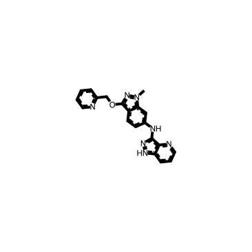 Cn1nc(OCc2ccccn2)c2ccc(Nc3n[nH]c4cccnc34)cc21